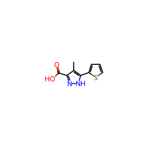 Cc1c(C(=O)O)n[nH]c1-c1cccs1